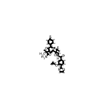 C[C@]1(C(N)=O)COc2c1cc(C(O)(CNC(=O)c1ccc(-c3ncco3)c(OC3CC3)c1)C(F)(F)F)nc2-c1ccc(F)cc1